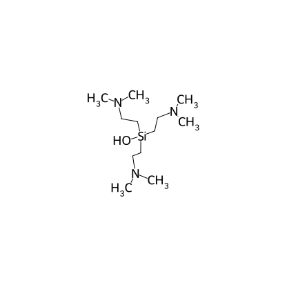 CN(C)CC[Si](O)(CCN(C)C)CCN(C)C